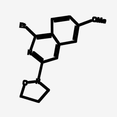 CCc1nc(N2CCCO2)cc2cc(OC)ccc12